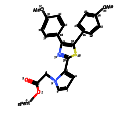 CCCCCOC(=O)Cn1cccc1-c1nc(-c2ccc(OC)cc2)c(-c2ccc(OC)cc2)s1